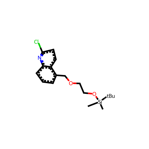 CC(C)(C)[Si](C)(C)OCCOCc1cccc2nc(Cl)ccc12